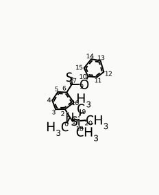 CN(c1cccc(C(=S)Oc2ccccc2)c1)[Si](C)(C)C